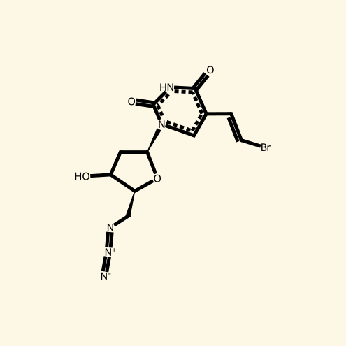 [N-]=[N+]=NC[C@@H]1O[C@H](n2cc(/C=C/Br)c(=O)[nH]c2=O)CC1O